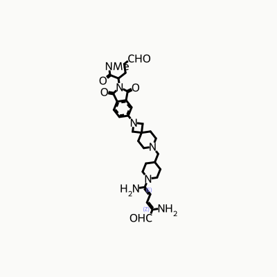 CNC(=O)C(CCC=O)N1C(=O)c2ccc(N3CC4(CCN(CC5CCN(/C(N)=C/C=C(\N)C=O)CC5)CC4)C3)cc2C1=O